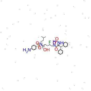 COC(=O)N[C@H](C(=O)NCC(F)CC[C@@H](CO)N(CCC(C)C)S(=O)(=O)c1ccc(N)cc1)C(c1ccccc1)c1ccccc1